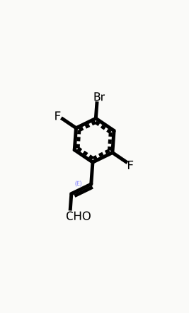 O=C/C=C/c1cc(F)c(Br)cc1F